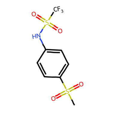 CS(=O)(=O)c1ccc(NS(=O)(=O)C(F)(F)F)cc1